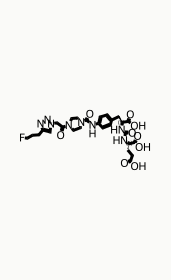 O=C(O)CC[C@H](NC(=O)N[C@@H](Cc1ccc(NC(=O)N2CCN(C(=O)Cn3cc(CCCF)nn3)CC2)cc1)C(=O)O)C(=O)O